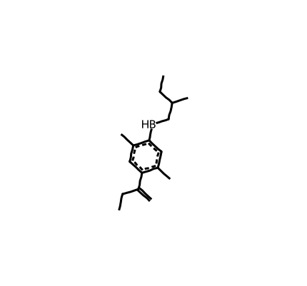 C=C(CC)c1cc(C)c(BCC(C)CC)cc1C